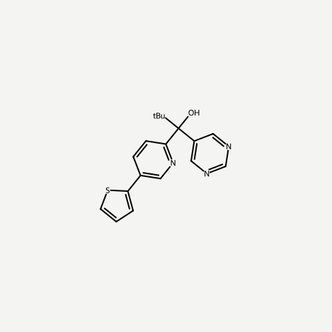 CC(C)(C)C(O)(c1cncnc1)c1ccc(-c2cccs2)cn1